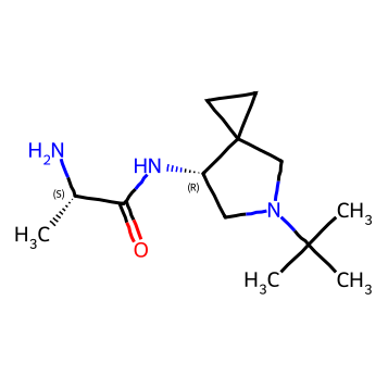 C[C@H](N)C(=O)N[C@H]1CN(C(C)(C)C)CC12CC2